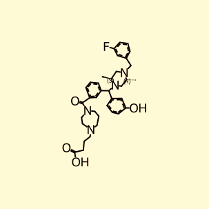 C[C@@H]1CN(C(c2cccc(O)c2)c2cccc(C(=O)N3CCCN(CCCC(=O)O)CC3)c2)[C@@H](C)CN1Cc1cccc(F)c1